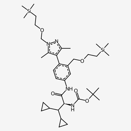 Cc1nn(COCC[Si](C)(C)C)c(C)c1-c1ccc(NC(=O)[C@@H](NC(=O)OC(C)(C)C)C(C2CC2)C2CC2)cc1COCC[Si](C)(C)C